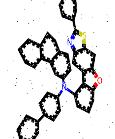 c1ccc(-c2ccc(N(c3ccc4ccc5ccccc5c4c3)c3cccc4oc5cc6sc(-c7ccccc7)nc6cc5c34)cc2)cc1